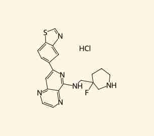 Cl.FC1(CNc2nc(-c3ccc4scnc4c3)cc3nccnc23)CCCNC1